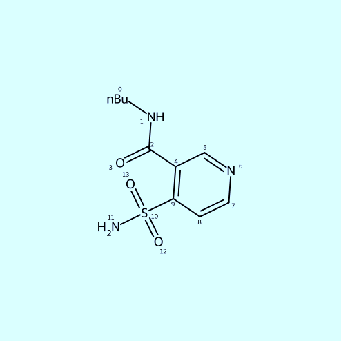 CCCCNC(=O)c1cnccc1S(N)(=O)=O